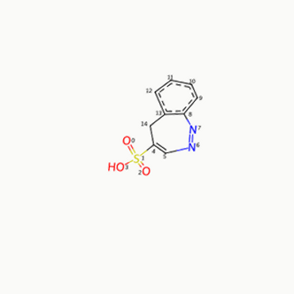 O=S(=O)(O)C1=CN=Nc2ccccc2C1